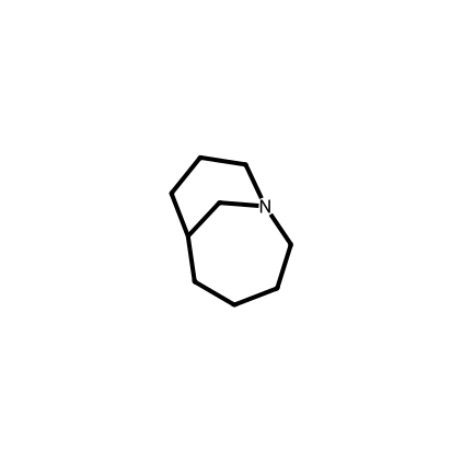 C1CCN2CCCC(C1)C2